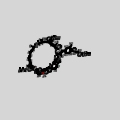 C=C1[C@H](C)C[C@H](C)/C=C/C=C/C=C(\C)[C@@H](OC)C[C@@H]2CC[C@@H](C)[C@@](C)(O2)C(=O)C(=O)N2CCCC[C@H]2C(=O)O[C@H]([C@H](C)C[C@@H]2CC[C@@H](OCCOC(C)(C)C)[C@H](C)C2)CC(=O)[C@H](C)/C=C(\C)[C@@H](OC(C)(C)C)[C@H]1C